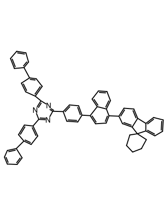 c1ccc(-c2ccc(-c3nc(-c4ccc(-c5ccccc5)cc4)nc(-c4ccc(-c5ccc(-c6ccc7c(c6)C6(CCCCC6)c6ccccc6-7)c6ccccc56)cc4)n3)cc2)cc1